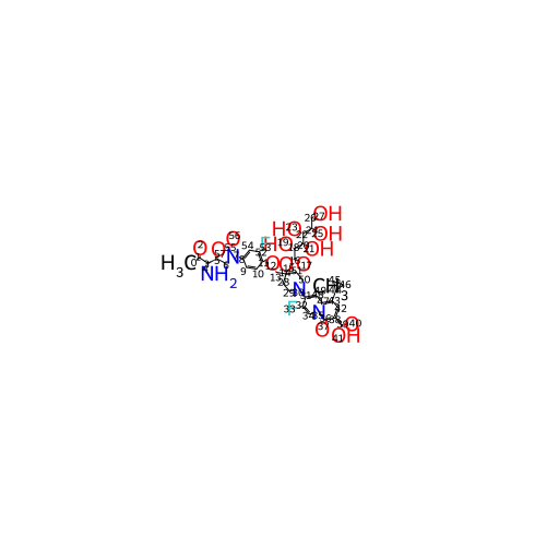 CC(=O)C(N)[C@@H]1CN(c2ccc(OCC3(OC(=O)[C@H](O)[C@@H](O)[C@H](O)[C@H](O)CO)CCN(c4c(F)cn5c(=O)c(C(=O)O)cc(C6CC6)c5c4C)CC3)c(F)c2)C(=O)O1